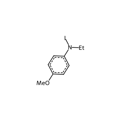 CCN(I)c1ccc(OC)cc1